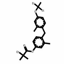 CCC(C)(CC)Oc1ccc(Cc2ccc(OC(=O)C(C)(C)CC)cc2C)c(C)c1